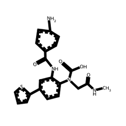 CNC(=O)CN(C(=O)O)c1ccc(-c2cccs2)cc1NC(=O)c1ccc(N)cc1